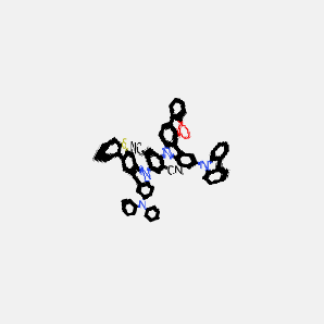 N#Cc1cc(-n2c3ccc(-n4c5ccccc5c5ccccc54)cc3c3c4oc5ccccc5c4ccc32)c(C#N)cc1-n1c2ccc(N(c3ccccc3)c3ccccc3)cc2c2cc3c(cc21)sc1ccccc13